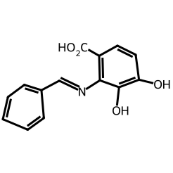 O=C(O)c1ccc(O)c(O)c1N=Cc1ccccc1